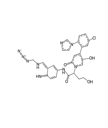 [N-]=[N+]=NCN/C=C1/C=C(NC(=O)C(CCO)n2cc(O)c(-c3cc(Cl)ccc3-n3ccnc3)cc2=O)C=CC1=N